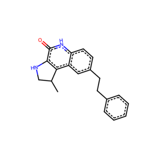 CC1CNc2c1c1cc(CCc3ccccc3)ccc1[nH]c2=O